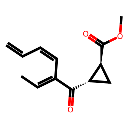 C=C/C=C\C(=C/C)C(=O)[C@H]1C[C@@H]1C(=O)OC